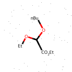 CCCCOC(OCC)C(=O)OCC